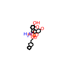 NC1CCC23c4c5ccc(O)c4OC2C(=O)CCC3(OP(=O)(O)OCCC2=CCc3ccccc3C2)C1C5